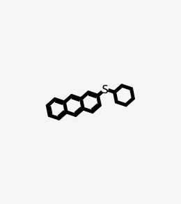 c1ccc2cc3cc(SC4CCCCC4)ccc3cc2c1